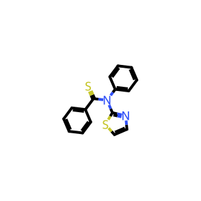 S=C(c1ccccc1)N(c1ccccc1)c1nccs1